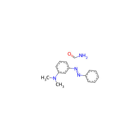 CN(C)c1cccc(N=Nc2ccccc2)c1.NC=O